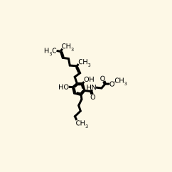 CCCCCc1cc(O)c(CC=C(C)CCC=C(C)C)c(O)c1C(=O)NCC(=O)OC